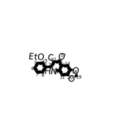 CCOC(=O)c1c(-c2ccccc2)[nH]c2cc3c(cc2c1=O)OCO3